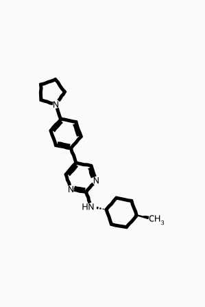 C[C@H]1CC[C@H](Nc2ncc(-c3ccc(N4CCCC4)cc3)cn2)CC1